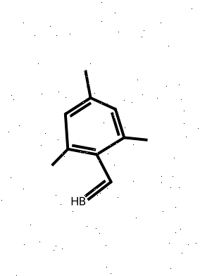 B=Cc1c(C)cc(C)cc1C